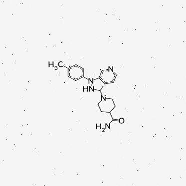 Cc1ccc(N2NC(N3CCC(C(N)=O)CC3)c3ccncc32)cc1